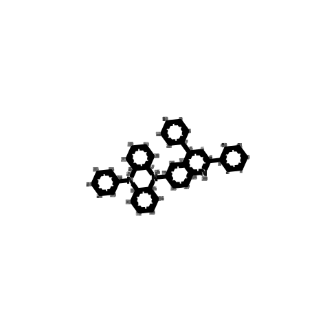 c1ccc(-c2cc(-c3ccccc3)c3cc(N4c5ccccc5N(c5ccccc5)c5ccccc54)ccc3n2)cc1